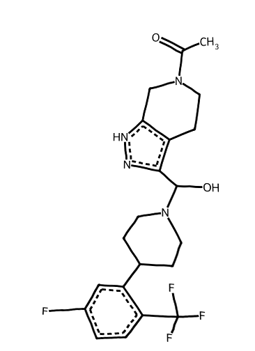 CC(=O)N1CCc2c(C(O)N3CCC(c4cc(F)ccc4C(F)(F)F)CC3)n[nH]c2C1